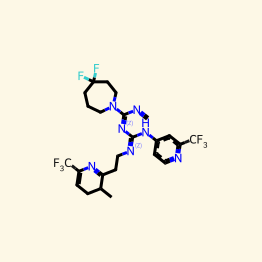 C=N/C(=N\C(=N/CCC1=NC(C(F)(F)F)=CCC1C)Nc1ccnc(C(F)(F)F)c1)N1CCCC(F)(F)CC1